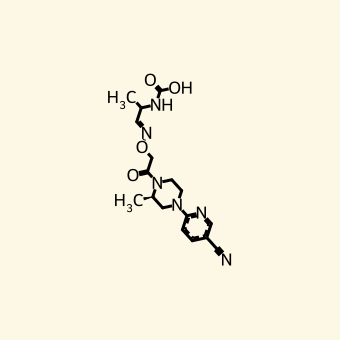 CC(/C=N/OCC(=O)N1CCN(c2ccc(C#N)cn2)C[C@H]1C)NC(=O)O